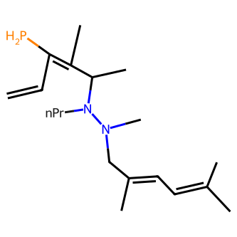 C=C/C(P)=C(/C)C(C)N(CCC)N(C)C/C(C)=C/C=C(C)C